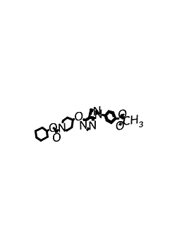 CS(=O)(=O)c1ccc(-n2ncc3c(OC4CCN(C(=O)OC5CCCCC5)CC4)ncnc32)cc1